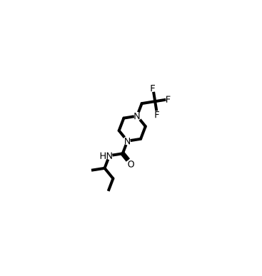 CCC(C)NC(=O)N1CCN(CC(F)(F)F)CC1